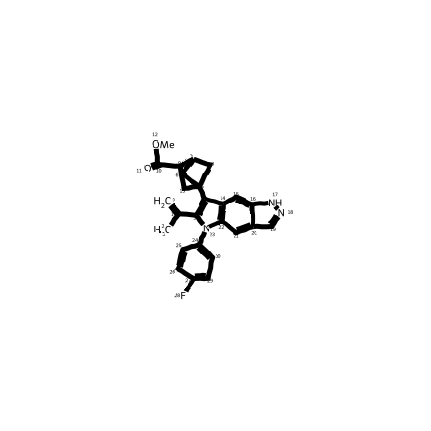 C=C(C)c1c(C23CC(C2)C(C(=O)OC)C3)c2cc3[nH]ncc3cc2n1-c1ccc(F)cc1